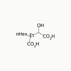 CCC(O)C(=O)O.CCCCCCCC(=O)O